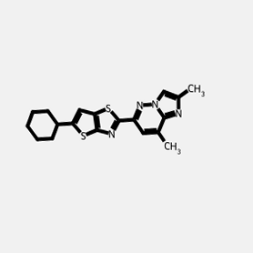 Cc1cn2nc(-c3nc4sc(C5CCCCC5)cc4s3)cc(C)c2n1